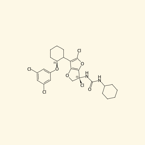 O=C(NC1CCCCC1)N[C@]1(Cl)COc2c1oc(Cl)c2C1CCCC[C@@H]1Oc1cc(Cl)cc(Cl)c1